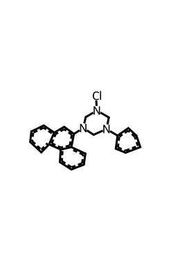 ClN1CN(c2ccccc2)CN(c2cc3ccccc3c3ccccc23)C1